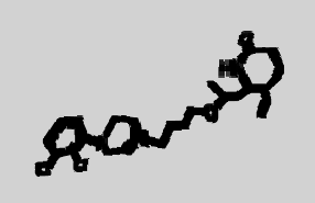 C=CC1=C(/C=C(\C)OCCCCN2CCN(c3cccc(Cl)c3Cl)CC2)NC(=O)CC1